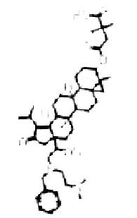 CC(C)C1=C2[C@H]3CC[C@@H]4[C@@]5(C)CC[C@H](OC(=O)CC(C)(C)C(=O)O)C6(C)C[C@]65CC[C@@]4(C)[C@]3(C)CCC2(C(O)CN(CCN(C)C)Cc2ccccc2)CC1=O